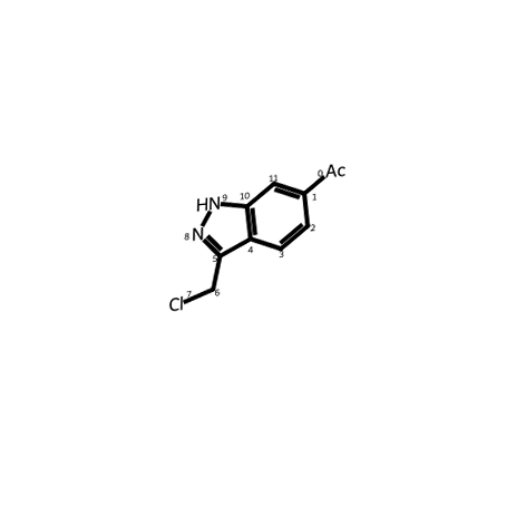 CC(=O)c1ccc2c(CCl)n[nH]c2c1